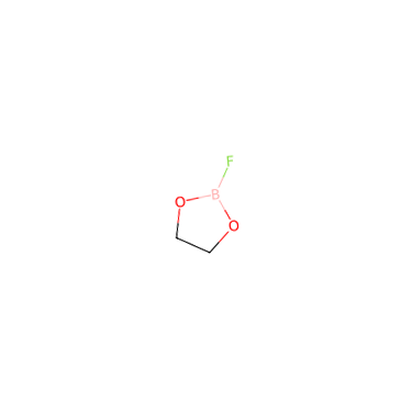 FB1OCCO1